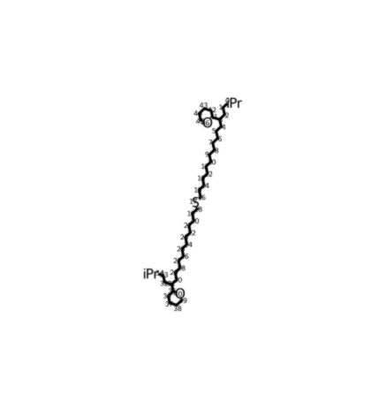 CC(C)CCC(CCCCCCCCCCCCCSCCCCCCCCCCCCCC(CCC(C)C)C1CCCCO1)C1CCCCO1